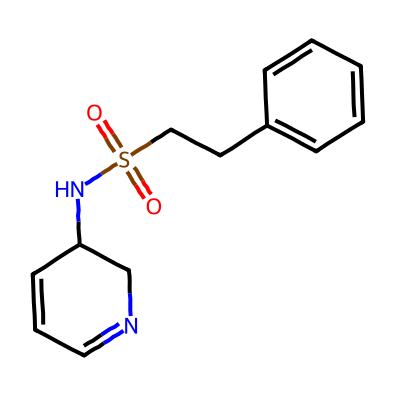 O=S(=O)(CCc1ccccc1)NC1C=CC=NC1